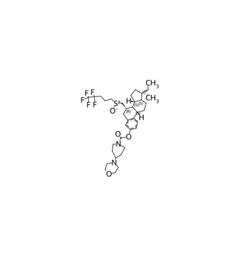 C/C=C1\CC[C@H]2C3[C@H](C[S+]([O-])CCCC(F)(F)C(F)(F)F)Cc4cc(OC(=O)N5CCC(N6CCOCC6)CC5)ccc4[C@H]3CC[C@]12C